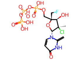 C=C1NC(=O)C=CN1[C@@H]1O[C@](CF)(COP(=O)(O)OP(=O)(O)OP(=O)(O)O)[C@@H](O)[C@@]1(C)Cl